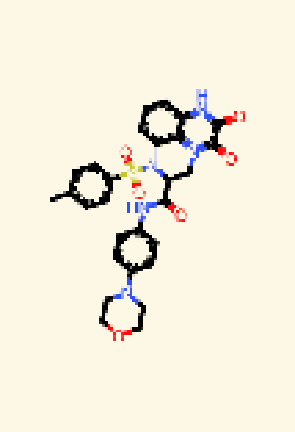 Cc1ccc(S(=O)(=O)NC(Cn2c(=O)c(=O)[nH]c3ccccc32)C(=O)Nc2ccc(N3CCOCC3)cc2)cc1